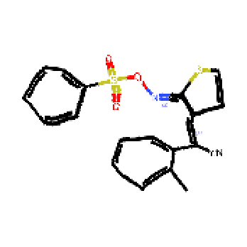 Cc1ccccc1/C(C#N)=C1/C=CS/C1=N\OS(=O)(=O)c1ccccc1